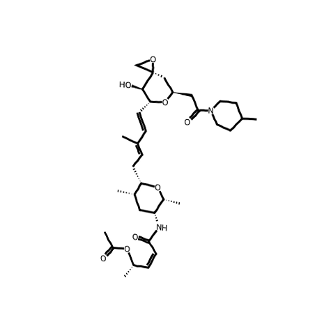 CC(=O)O[C@@H](C)/C=C\C(=O)N[C@@H]1C[C@H](C)[C@H](C/C=C(C)/C=C/[C@H]2O[C@H](CC(=O)N3CCC(C)CC3)C[C@@]3(CO3)[C@@H]2O)O[C@@H]1C